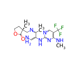 CNc1nc(NC(=C/N)/C(C)=N\C[C@@]2(C)CCOC2=O)ncc1C(F)(F)F